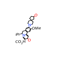 COc1cc2c(cc1N1CCC3(CCC(=O)C3)CC1)CC(C(C)C)n1cc(C(=O)O)c(=O)cc1-2